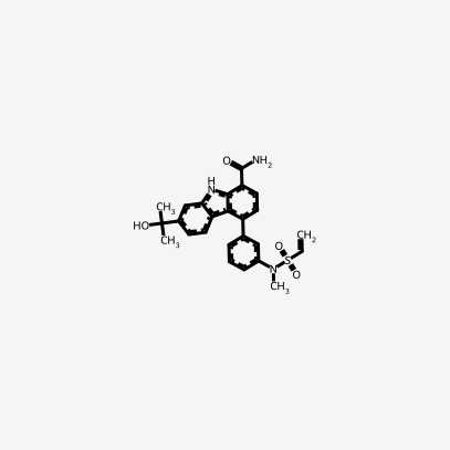 C=CS(=O)(=O)N(C)c1cccc(-c2ccc(C(N)=O)c3[nH]c4cc(C(C)(C)O)ccc4c23)c1